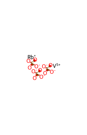 O=S(=O)([O-])[O-].O=S(=O)([O-])[O-].O=S(=O)([O-])[O-].[Rb+].[V+5]